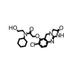 O=C1CN2Cc3c(ccc(Cl)c3OCC(=O)N(CCO)C3CCCCC3)N=C2N1